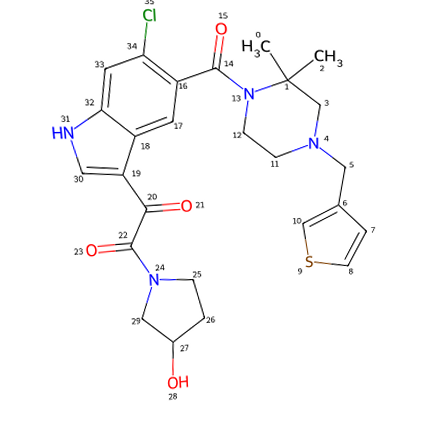 CC1(C)CN(Cc2ccsc2)CCN1C(=O)c1cc2c(C(=O)C(=O)N3CCC(O)C3)c[nH]c2cc1Cl